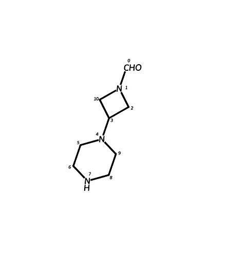 O=CN1CC(N2CCNCC2)C1